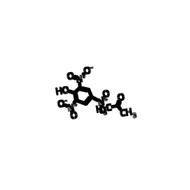 CC(C)=O.O=[N+]([O-])c1cc([N+](=O)[O-])c(O)c([N+](=O)[O-])c1